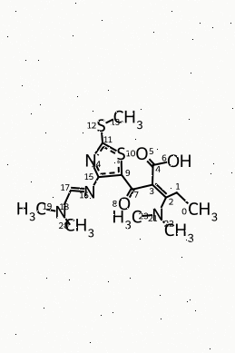 CCC(=C(C(=O)O)C(=O)c1sc(SC)nc1N=CN(C)C)N(C)C